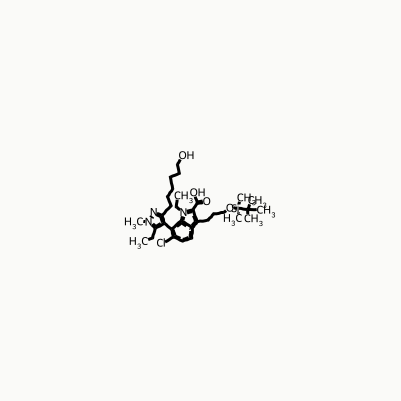 CCc1c(-c2c(Cl)ccc3c(CCCO[Si](C)(C)C(C)(C)C)c(C(=O)O)n(CC)c23)c(CCCCCCO)nn1C